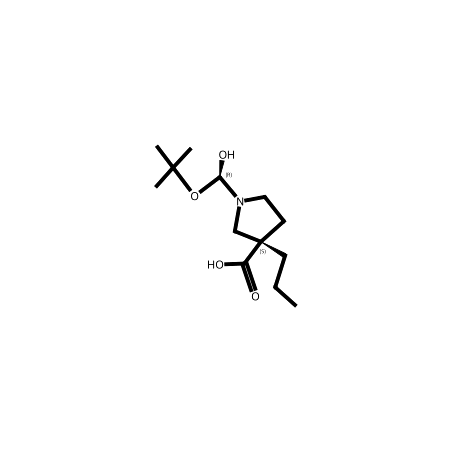 CCC[C@]1(C(=O)O)CCN([C@H](O)OC(C)(C)C)C1